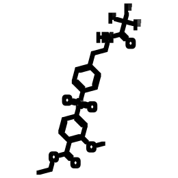 CCOC(=O)c1ccc(S(=O)(=O)c2ccc(CCNC(=O)C(F)(F)F)cc2)cc1OC